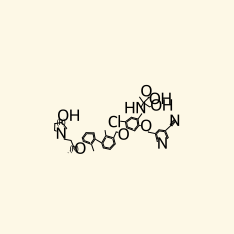 Cc1c(COc2cc(OCc3cncc(C#N)c3)c(CNC(C)(CO)C(=O)O)cc2Cl)cccc1-c1cccc(O[C@H](C)CCN2CC[C@@H](O)C2)c1C